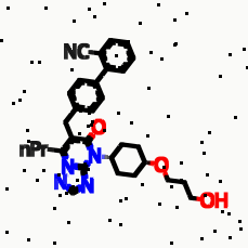 CCCc1c(Cc2ccc(-c3ccccc3C#N)cc2)c(=O)n([C@H]2CC[C@H](OCCCO)CC2)c2ncnn12